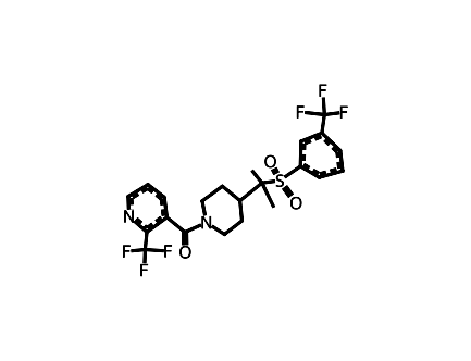 CC(C)(C1CCN(C(=O)c2cccnc2C(F)(F)F)CC1)S(=O)(=O)c1cccc(C(F)(F)F)c1